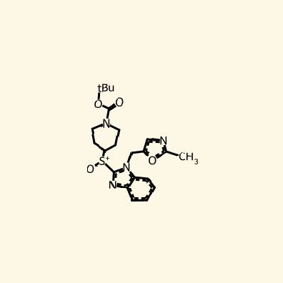 Cc1ncc(Cn2c([S+]([O-])C3CCN(C(=O)OC(C)(C)C)CC3)nc3ccccc32)o1